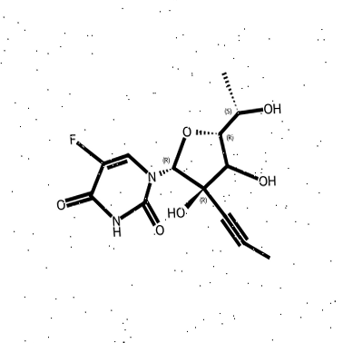 CC#C[C@@]1(O)C(O)[C@@H]([C@H](C)O)O[C@H]1n1cc(F)c(=O)[nH]c1=O